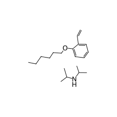 C=Cc1ccccc1OCCCCCC.CC(C)NC(C)C